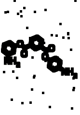 Nc1ccc(OC(=O)c2cccc(C(=O)Oc3cccc(N)c3)c2)cc1